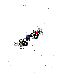 CCN(CC)C(=O)N1C2CCC1(OC(=O)/C=C\C(=O)OC13CCC(CN(C)C1)N3C(=O)N(CC)CC)CN(C)C2